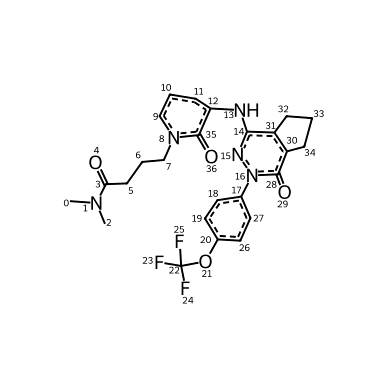 CN(C)C(=O)CCCn1cccc(Nc2nn(-c3ccc(OC(F)(F)F)cc3)c(=O)c3c2CCC3)c1=O